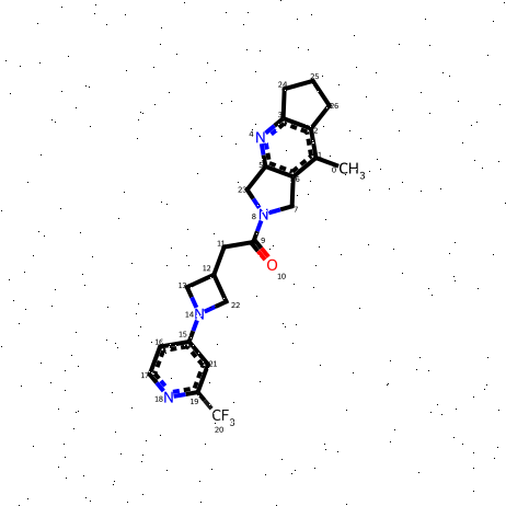 Cc1c2c(nc3c1CN(C(=O)CC1CN(c4ccnc(C(F)(F)F)c4)C1)C3)CCC2